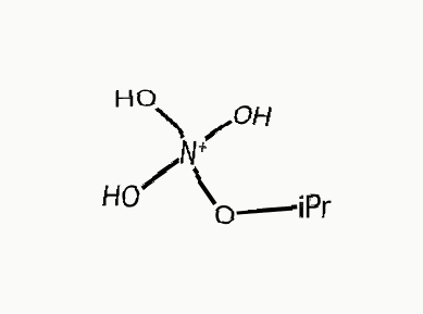 CC(C)O[N+](O)(O)O